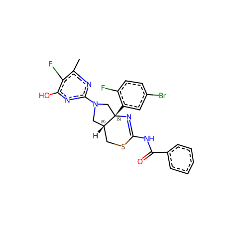 Cc1nc(N2C[C@H]3CSC(NC(=O)c4ccccc4)=N[C@@]3(c3cc(Br)ccc3F)C2)nc(O)c1F